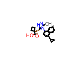 Cc1nnc(SC2(C(=O)O)CCC2)n1-c1ccc(C2CC2)c2ccccc12